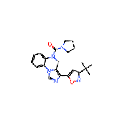 CC(C)(C)c1cc(-c2ncn3c2CN(C(=O)N2CCCC2)c2ccccc2-3)on1